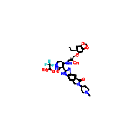 CCc1cc2c(cc1OC[C@H](O)CNc1cc[nH]c(=O)c1-c1nc3cc4c(cc3[nH]1)CN(C1CCN(C)CC1)C4=O)OCO2.O=C(O)C(F)(F)F